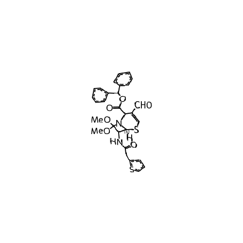 COC1(OC)C(NC(=O)Cc2cccs2)[C@@H]2SC=C(C=O)C(C(=O)OC(c3ccccc3)c3ccccc3)N21